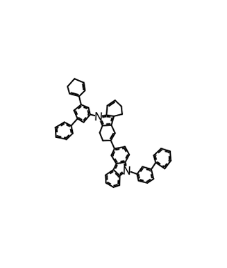 C1=CC(c2cc(-c3ccccc3)cc(-n3c4c(c5c3CCC(c3ccc6c(c3)c3ccccc3n6-c3cccc(-c6ccccc6)c3)=C5)CCC=C4)c2)=CCC1